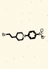 O=[N+]([O-])c1ccc(N2CCC(CCBr)CC2)cc1